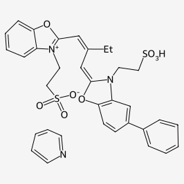 CCC(=Cc1oc2ccccc2[n+]1CCS(=O)(=O)[O-])C=C1Oc2ccc(-c3ccccc3)cc2N1CCS(=O)(=O)O.c1ccncc1